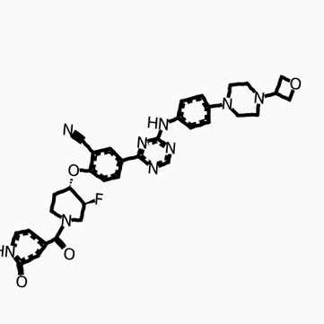 N#Cc1cc(-c2ncnc(Nc3ccc(N4CCN(C5COC5)CC4)cc3)n2)ccc1O[C@H]1CCN(C(=O)c2cc[nH]c(=O)c2)C[C@@H]1F